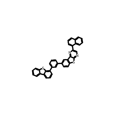 c1cc(-c2ccc3sc4ncc(-c5cccc6ccccc56)nc4c3c2)cc(-c2cccc3c2sc2ccccc23)c1